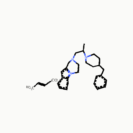 CC(CN1CCn2c(cc3ccccc32)C1)N1CCC(Cc2ccccc2)CC1.O=C(O)C=CC(=O)O